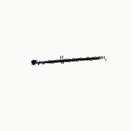 CC1=C(/C=C/C(C)=C/C=C/C(C)=C/CCCOCCOCCOCCCNC(=O)CCOCCOCCOCCOCCOCCCCCOCCOCCOCCCN)C(C)(C)CCC1